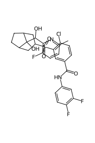 Cc1ccc(F)c(C(O)C2(O)C3CCC2CC(S(=O)(=O)c2cc(C(=O)Nc4ccc(F)c(F)c4)ccc2Cl)C3)n1